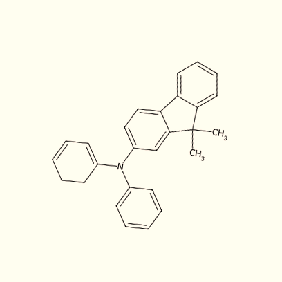 CC1(C)c2ccccc2-c2ccc(N(C3=CC=CCC3)c3ccccc3)cc21